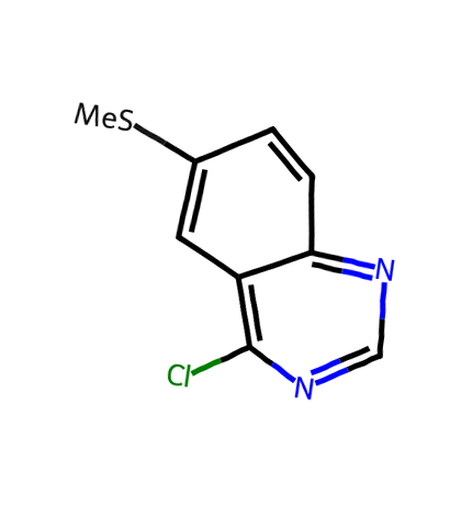 CSc1ccc2ncnc(Cl)c2c1